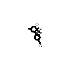 CC1=[C]C(=O)C(C)(C(F)(F)F)C(c2ccc(C#N)cc2)=C1